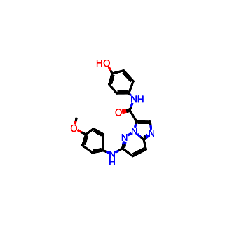 COc1ccc(Nc2ccc3ncc(C(=O)Nc4ccc(O)cc4)n3n2)cc1